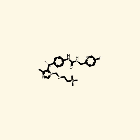 Cc1ncn(COCC[Si](C)(C)C)c1[C@H](C)c1ccc(NC(=O)NCc2ccc(F)cn2)cc1